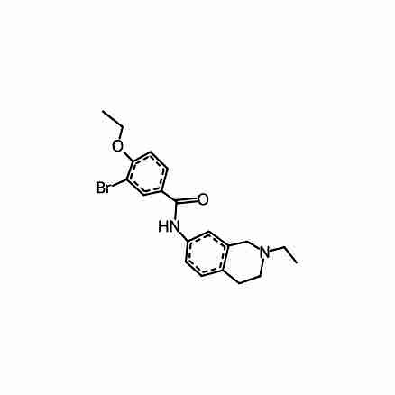 CCOc1ccc(C(=O)Nc2ccc3c(c2)CN(CC)CC3)cc1Br